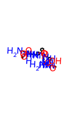 CCC(=O)NCCNC(=O)/N=C(/N)NCCC[C@@H](NC(=O)C(c1ccccc1)c1ccc(NCCCNC(=O)[C@@H](CCCCN)NC(=O)OC(C)(C)C)cc1)C(=O)NCc1ccc(O)cc1